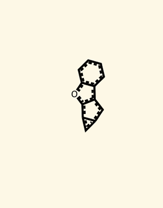 c1ccc2c(c1)oc1c3cc-3cc12